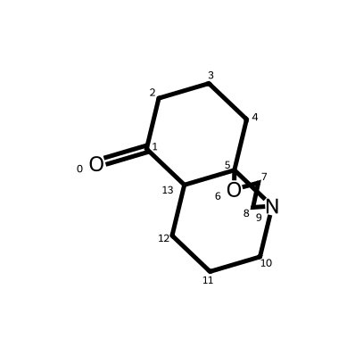 O=C1CCCC23OCCN2CCCC13